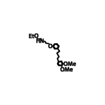 CCOCCNCCCOc1cccc(CCCCc2ccc(OC)c(OC)c2)c1